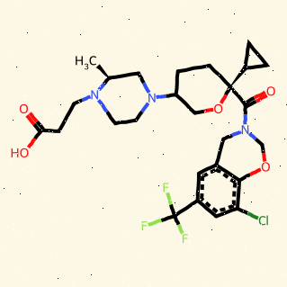 C[C@H]1CN(C2CC[C@@](C(=O)N3COc4c(Cl)cc(C(F)(F)F)cc4C3)(C3CC3)OC2)CCN1CCC(=O)O